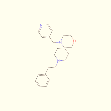 c1ccc(CCN2CCC3(CC2)COCCN3Cc2ccncc2)cc1